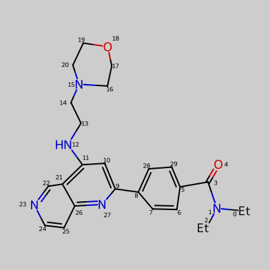 CCN(CC)C(=O)c1ccc(-c2cc(NCCN3CCOCC3)c3cnccc3n2)cc1